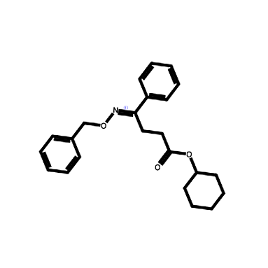 O=C(CC/C(=N\OCc1ccccc1)c1ccccc1)OC1CCCCC1